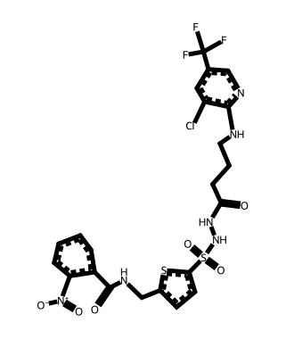 O=C(CCCNc1ncc(C(F)(F)F)cc1Cl)NNS(=O)(=O)c1ccc(CNC(=O)c2ccccc2[N+](=O)[O-])s1